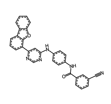 N#Cc1cccc(C(=O)Nc2ccc(Nc3cc(-c4cccc5c4oc4ccccc45)ncn3)cc2)c1